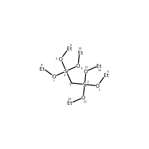 CCO[Si]([C][Si](OCC)(OCC)OCC)(OCC)OCC